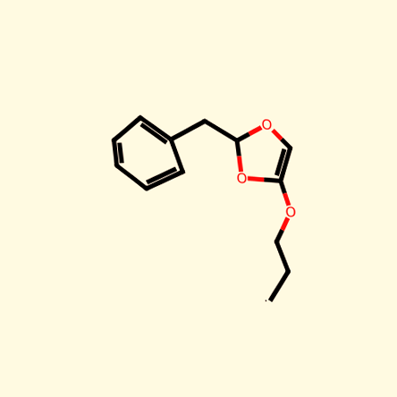 [CH2]CCOC1=COC(Cc2ccccc2)O1